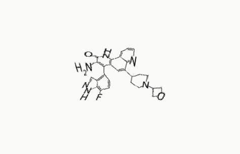 Nc1c(-c2ccc(F)c3[nH]ncc23)c2cc(C3CCN(C4COC4)CC3)c3ncccc3c2[nH]c1=O